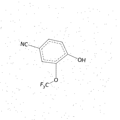 N#Cc1ccc(O)c(OC(F)(F)F)c1